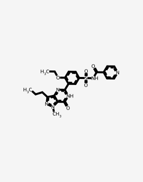 CCCc1nn(C)c2c(=O)[nH]c(-c3cc(S(=O)(=O)NC(=O)c4ccncc4)ccc3OCC)nc12